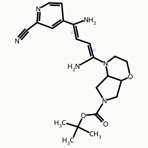 CC(C)(C)OC(=O)N1CC2OCCN(/C(N)=C/C=C(\N)c3ccnc(C#N)c3)C2C1